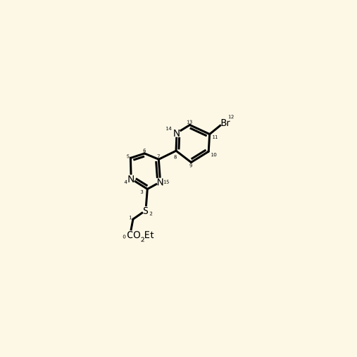 CCOC(=O)CSc1nccc(-c2ccc(Br)cn2)n1